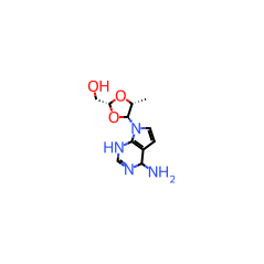 C[C@H]1O[C@@H](CO)O[C@@H]1n1ccc2c1NC=NC2N